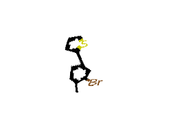 Cc1ccc(-c2cccs2)cc1Br